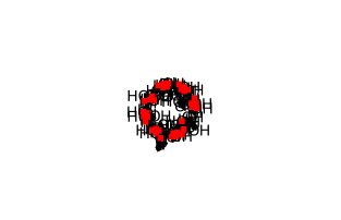 CCN(CC)CC.O=S(=O)(O)OC[C@H]1O[C@@H]2O[C@H]3[C@H](O)[C@@H](O)[C@@H](O[C@H]4[C@H](O)[C@@H](O)[C@@H](O[C@H]5[C@H](O)[C@@H](O)[C@@H](O[C@H]6[C@H](O)[C@@H](O)[C@@H](O[C@H]7[C@H](O)[C@@H](O)[C@@H](O[C@H]8[C@H](O)[C@@H](O)[C@@H](O[C@H]9[C@H](O)[C@@H](O)[C@@H](O[C@H]1[C@H](O)[C@H]2O)O[C@@H]9CO)O[C@@H]8CO)O[C@@H]7CO)O[C@@H]6CO)O[C@@H]5CO)O[C@@H]4CO)O[C@@H]3CO